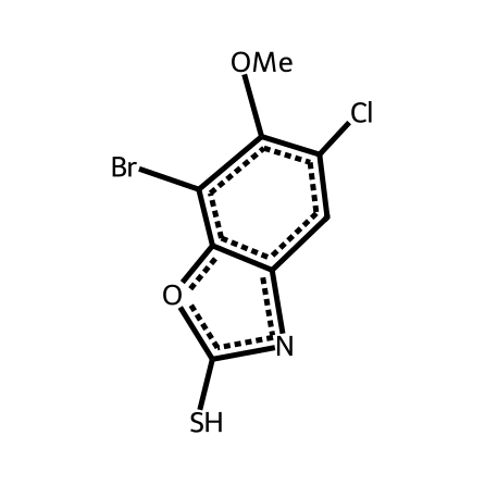 COc1c(Cl)cc2nc(S)oc2c1Br